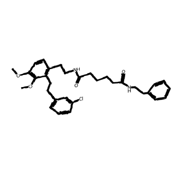 COc1ccc(CCNC(=O)CCCCC(=O)NCCc2ccccc2)c(CCc2cccc(Cl)c2)c1OC